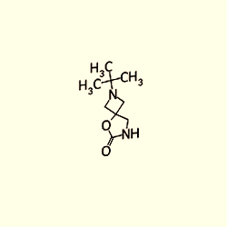 CC(C)(C)N1CC2(CNC(=O)O2)C1